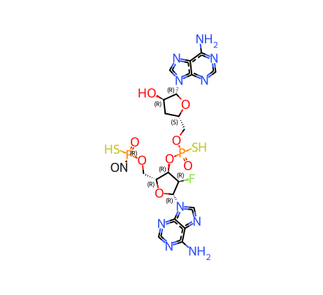 Nc1ncnc2c1ncn2[C@@H]1O[C@H](CO[P@@](=O)(S)N=O)[C@@H](OP(=O)(S)OC[C@@H]2C[C@@H](O)[C@H](n3cnc4c(N)ncnc43)O2)[C@H]1F